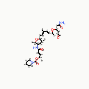 CC(C=C[C@@H]1C[C@@]2(CO2)C[C@@H](CC(N)=O)O1)=CC[C@@H]1O[C@H](C)[C@H](NC(=O)C=C[C@H](C)OC(=O)N2CCCCC2)C[C@@H]1C